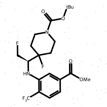 COC(=O)c1ccc(C(F)(F)F)c(N[C@@H](CF)C2(F)CCN(C(=O)OC(C)(C)C)CC2)c1